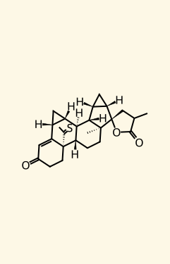 CC(=S)[C@]12CCC(=O)C=C1[C@@H]1C[C@@H]1[C@H]1[C@@H]3[C@@H]4C[C@@H]4[C@@]4(CC(C)C(=O)O4)[C@@]3(C)CC[C@@H]12